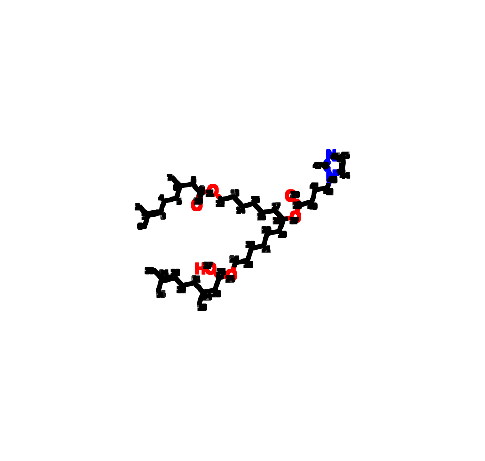 CC(C)=CCCC(C)CC(=O)OCCCCCCC(CCCCCCOC(O)CC(C)CCC=C(C)C)OC(=O)CCCn1ccnc1